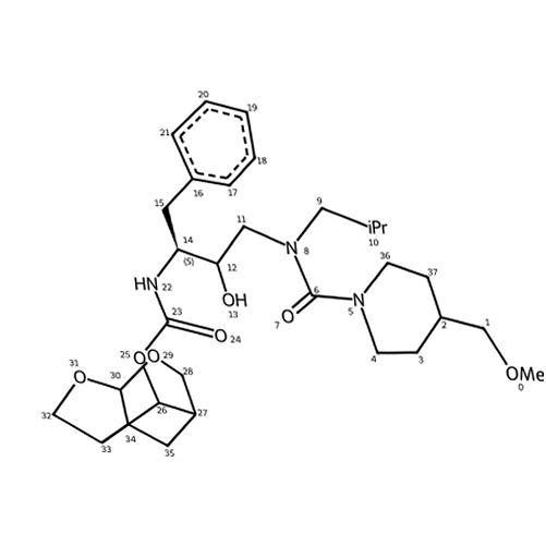 COCC1CCN(C(=O)N(CC(C)C)CC(O)[C@H](Cc2ccccc2)NC(=O)OC2C3COC4OCC2C4C3)CC1